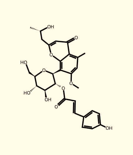 COc1cc(C)c2c(=O)cc(C[C@H](C)O)oc2c1[C@@H]1O[C@H](CO)[C@@H](O)[C@H](O)[C@H]1OC(=O)/C=C/c1ccc(O)cc1